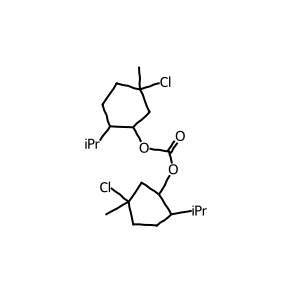 CC(C)C1CCC(C)(Cl)CC1OC(=O)OC1CC(C)(Cl)CCC1C(C)C